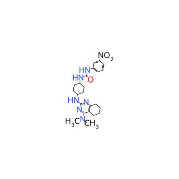 CN(C)c1nc(NC2CCC(NC(=O)Nc3cccc([N+](=O)[O-])c3)CC2)nc2c1CCCC2